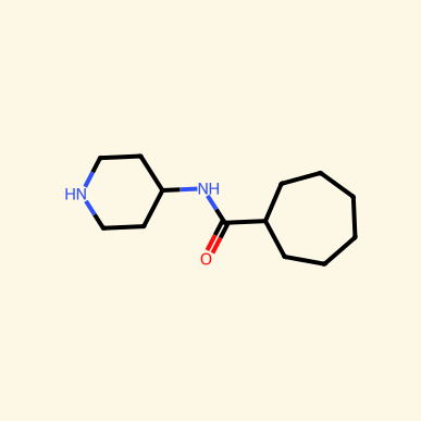 O=C(NC1CCNCC1)C1CCCCCC1